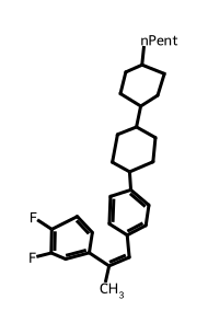 CCCCCC1CCC(C2CCC(c3ccc(C=C(C)c4ccc(F)c(F)c4)cc3)CC2)CC1